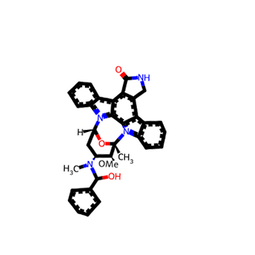 CO[C@@H]1[C@H](N(C)C(O)c2ccccc2)C[C@H]2O[C@]1(C)n1c3ccccc3c3c4c(c5c6ccccc6n2c5c31)C(=O)NC4